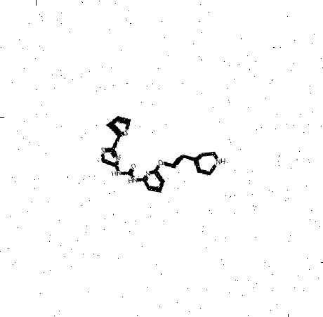 O=C(Nc1cccc(OCCC2CCNCC2)n1)Nc1csc(-c2cccs2)n1